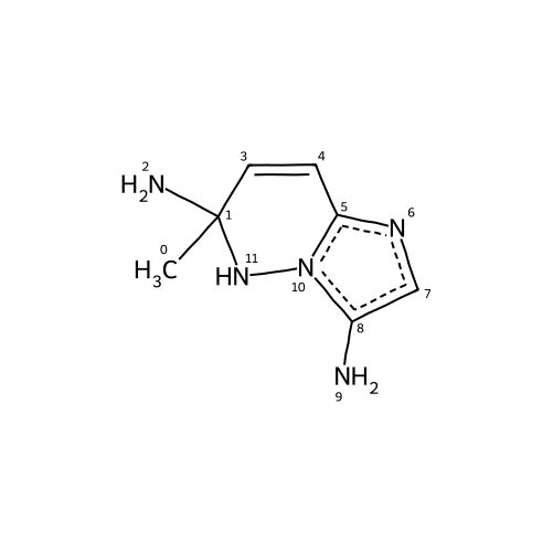 CC1(N)C=Cc2ncc(N)n2N1